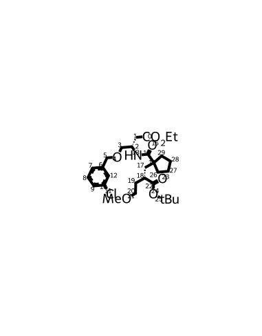 CCOC(=O)C[C@@H](COCc1cccc(Cl)c1)NC(=O)C1(C[C@@H](CCOC)C(=O)OC(C)(C)C)CCCC1